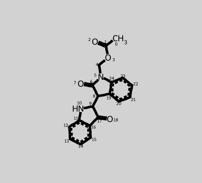 CC(=O)OCN1C(=O)C(C2Nc3ccccc3C2=O)c2ccccc21